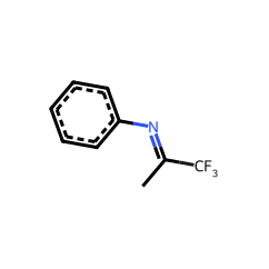 CC(=Nc1ccccc1)C(F)(F)F